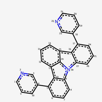 c1cncc(-c2cccc3c2c2cccc4c5c(-c6cccnc6)cccc5n3c24)c1